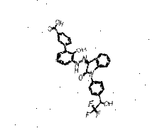 O=C(O)c1cccc(-c2cccc(NN=C3C(=O)N(c4ccc(C(O)C(F)(F)F)cc4)c4ccccc43)c2O)c1